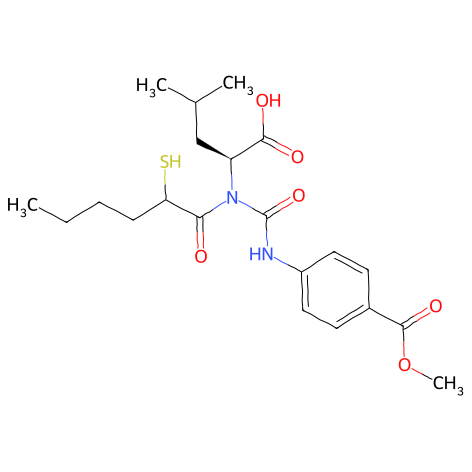 CCCCC(S)C(=O)N(C(=O)Nc1ccc(C(=O)OC)cc1)[C@@H](CC(C)C)C(=O)O